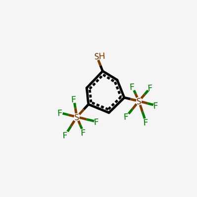 FS(F)(F)(F)(F)c1cc(S)cc(S(F)(F)(F)(F)F)c1